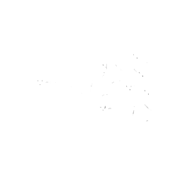 COCCOc1cc2ncc3c(N)nc(Nc4ccc(Cl)cc4)nc3c2cc1OC